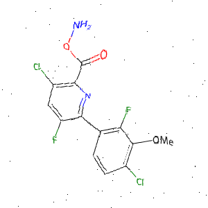 COc1c(Cl)ccc(-c2nc(C(=O)ON)c(Cl)cc2F)c1F